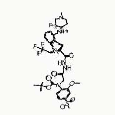 COc1cc(S(C)(=O)=O)ccc1N(CC(=O)NNC(=O)c1cc2c(N[C@@H]3CCN(C)C[C@@H]3F)cccc2n1CC(F)(F)F)C(=O)OC(C)(C)C